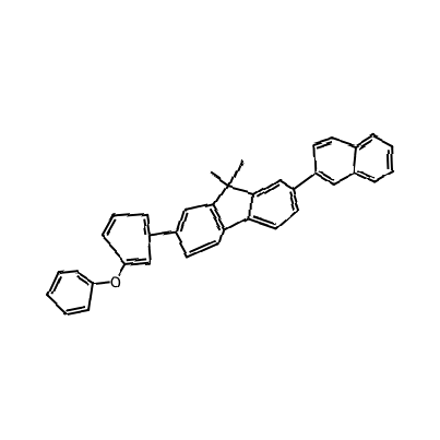 CC1(C)c2cc(-c3cccc(Oc4ccccc4)c3)ccc2-c2ccc(-c3ccc4ccccc4c3)cc21